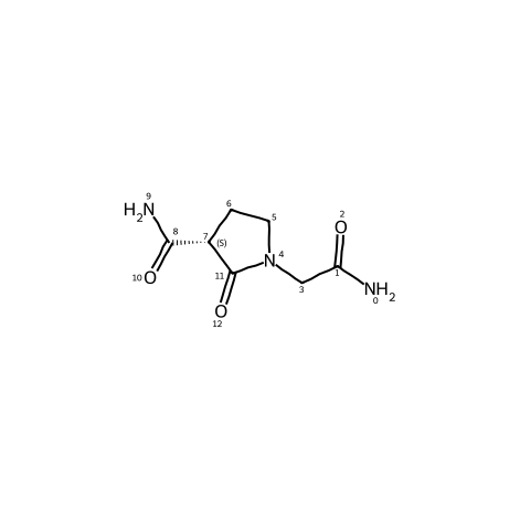 NC(=O)CN1CC[C@@H](C(N)=O)C1=O